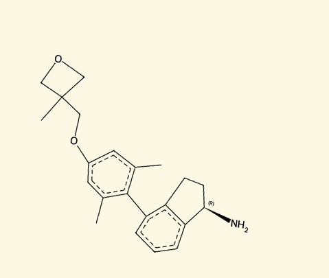 Cc1cc(OCC2(C)COC2)cc(C)c1-c1cccc2c1CC[C@H]2N